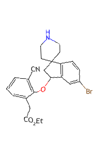 CCOC(=O)Cc1cccc(C#N)c1OC1CC2(CCNCC2)c2ccc(Br)cc21